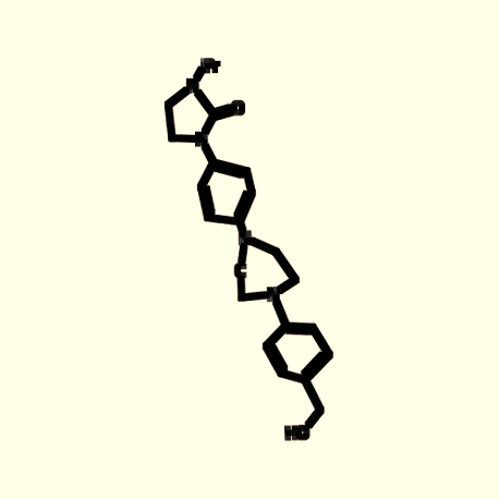 CC(C)N1CCN(c2ccc(N3CCN(c4ccc(CO)cc4)CC3)cc2)C1=O